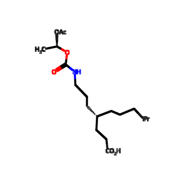 CC(=O)O[C@H](C)OC(=O)NCCC[C@H](CCCC(C)C)CCC(=O)O